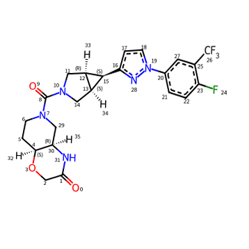 O=C1CO[C@H]2CCN(C(=O)N3C[C@@H]4[C@H](C3)[C@@H]4c3ccn(-c4ccc(F)c(C(F)(F)F)c4)n3)C[C@H]2N1